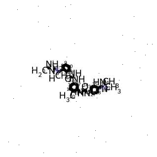 C=C(N)N/N=C(\C)c1cccc(NC(=O)Nc2ccc(C)c(NC(=O)Nc3ccc(/C(=N/C)NC)cc3)c2)c1